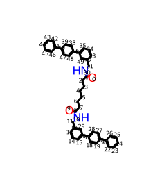 O=C(CCCCCCC(=O)NCc1cccc(-c2ccc(-c3ccccc3)cc2)c1)NCc1cccc(-c2ccc(-c3ccccc3)cc2)c1